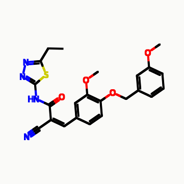 CCc1nnc(NC(=O)C(C#N)=Cc2ccc(OCc3cccc(OC)c3)c(OC)c2)s1